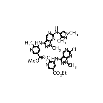 CCOC(=O)c1cnc(C)c(Nc2nn(C)c3nc(Cl)ncc23)c1.COC(=O)c1cnc(C)c(Nc2nn(C)c3nc(Nc4cn(C)nc4C)ncc23)c1